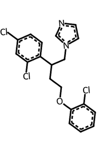 Clc1ccc(C(CCOc2ccccc2Cl)Cn2ccnc2)c(Cl)c1